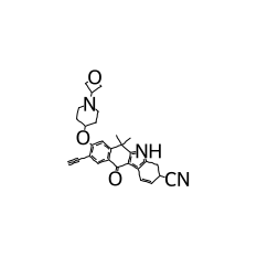 C#Cc1cc2c(cc1OC1CCN(C3COC3)CC1)C(C)(C)c1[nH]c3c(c1C2=O)C=CC(C#N)C3